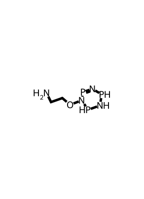 NCCOn1pn[pH][nH][pH]1